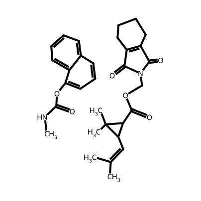 CC(C)=CC1C(C(=O)OCN2C(=O)C3=C(CCCC3)C2=O)C1(C)C.CNC(=O)Oc1cccc2ccccc12